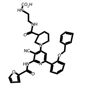 N#Cc1c(N2CCCC(C(=O)NCCNC(=O)O)C2)cc(-c2ccccc2OCc2ccccc2)nc1NC(=O)c1ccco1